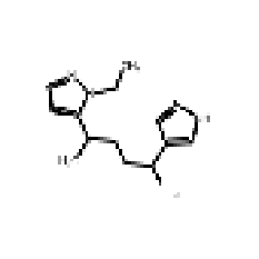 CCn1nccc1C(C)CCC(C)c1cn[nH]c1